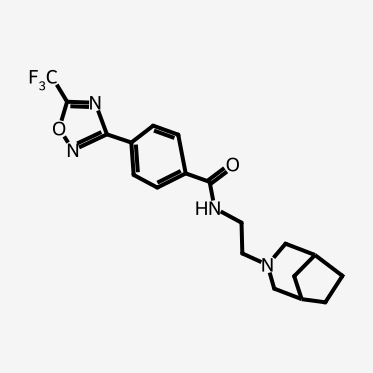 O=C(NCCN1CC2CCC(C2)C1)c1ccc(-c2noc(C(F)(F)F)n2)cc1